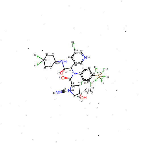 C[C@@]1(O)C[C@H](C(=O)N(c2ccc(S(F)(F)(F)(F)F)c(F)c2F)C(C(=O)NC2CCC(F)(F)CC2)c2cncc(F)c2)N(C#N)C1